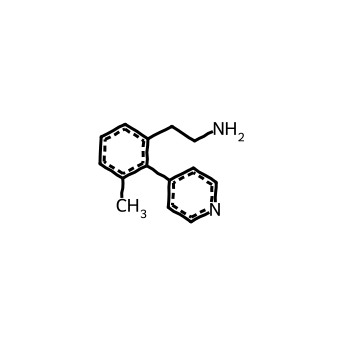 Cc1cccc(CCN)c1-c1ccncc1